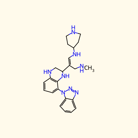 CNC/C(=C\NC1CCNCC1)C1CNc2cccc(-n3nnc4ccccc43)c2N1